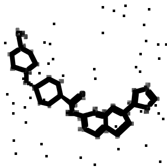 CN1CCN(C[C@H]2CC[C@H](C(=O)Nc3ncc4ccc(-c5cnco5)cc4n3)CC2)CC1